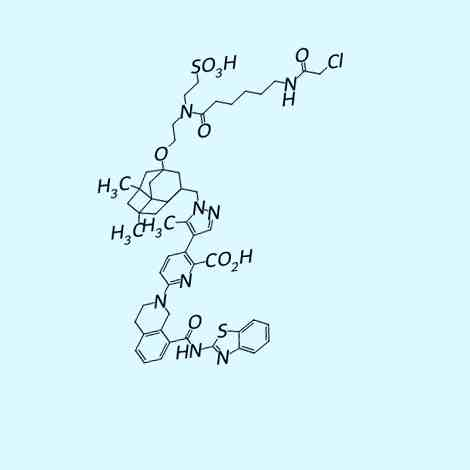 Cc1c(-c2ccc(N3CCc4cccc(C(=O)Nc5nc6ccccc6s5)c4C3)nc2C(=O)O)cnn1CC12CC3(OCCN(CCS(=O)(=O)O)C(=O)CCCCCNC(=O)CCl)CC4(C)CC(C)(C1)C4(C2)C3